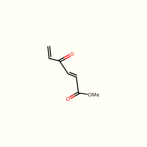 C=CC(=O)C=CC(=O)OC